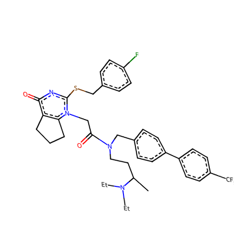 CCN(CC)C(C)CCN(Cc1ccc(-c2ccc(C(F)(F)F)cc2)cc1)C(=O)Cn1c(SCc2ccc(F)cc2)nc(=O)c2c1CCC2